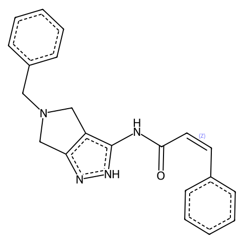 O=C(/C=C\c1ccccc1)Nc1[nH]nc2c1CN(Cc1ccccc1)C2